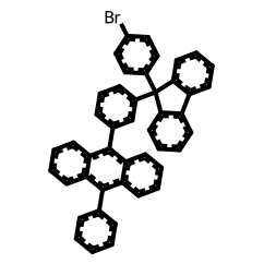 Brc1ccc(C2(c3cccc(-c4c5ccccc5c(-c5ccccc5)c5ccccc45)c3)c3ccccc3-c3ccccc32)cc1